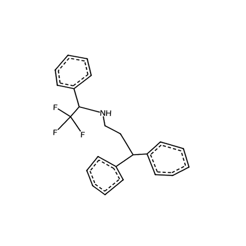 FC(F)(F)C(NCCC(c1ccccc1)c1ccccc1)c1ccccc1